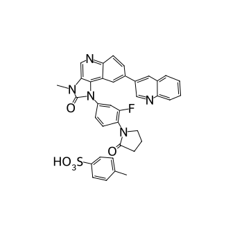 Cc1ccc(S(=O)(=O)O)cc1.Cn1c(=O)n(-c2ccc(N3CCCC3=O)c(F)c2)c2c3cc(-c4cnc5ccccc5c4)ccc3ncc21